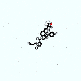 N#CCCN1C(=O)CC[C@H]1C(=O)N1CCC2(S(=O)(=O)c3ccc(F)cc3)c3cnc(C(F)(C(F)(F)F)C(F)(F)F)cc3CCC12